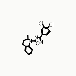 CC1CCc2ccccc2N1c1nc(-c2ccc(Cl)c(Cl)c2)no1